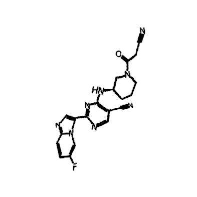 N#CCC(=O)N1CCC[C@@H](Nc2nc(-c3cnc4ccc(F)cn34)ncc2C#N)C1